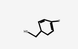 FC1=CCC(CS)C=C1